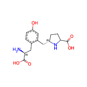 N[C@@H](Cc1ccc(O)cc1C[C@@H]1CCC(C(=O)O)N1)C(=O)O